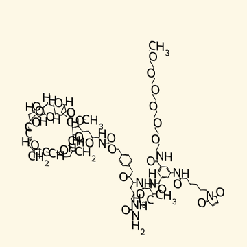 C=C1C[C@@H]2CC[C@@]34C[C@H]5OC6C(O[C@H]7CC[C@H](CC(=O)C[C@@H]8[C@@H](OC)[C@@H](C[C@H](O)CNC(=O)OCc9ccc(CC(=O)[C@H](CCCNC(N)=O)NC(=O)[C@@H](NC(=O)c%10cc(NC(=O)CCCCCN%11C(=O)C=CC%11=O)cc(C(=O)NCCOCCOCCOCCOCCOCCOCC)c%10)C(C)C)cc9)O[C@H]8C[C@H]8O[C@H](CCC8=C)CC[C@@H]1O2)O[C@@H]7[C@@H]6O3)[C@H]5O4